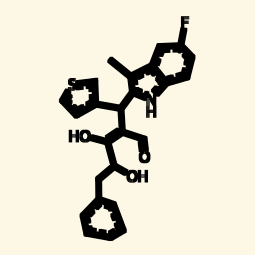 Cc1c(C(/C(C=O)=C(\O)C(O)Cc2ccccc2)c2ccsc2)[nH]c2ccc(F)cc12